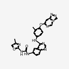 Cc1coc(NC(=O)Nc2ccc3ncnc(Nc4ccc(Oc5cc6nncn6cn5)c(C)c4)c3c2)n1